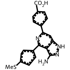 CSc1ccc(-c2nc(-c3ccc(C(=O)O)cc3)cc3[nH]nc(N)c23)cc1